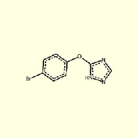 Brc1ccc(Oc2ncn[nH]2)cc1